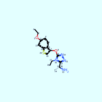 CCOc1ccc2c(Oc3nnc([C@@H](C)N)n3CC)csc2c1